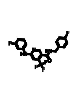 O=C(NCc1ccc(F)cc1)c1cnc(Nc2cccc(F)c2)cc1C(F)(F)F